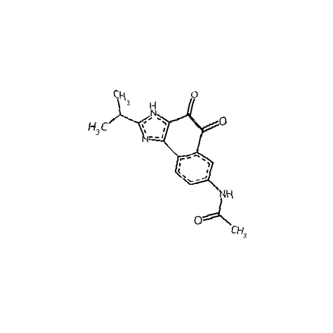 CC(=O)Nc1ccc2c(c1)C(=O)C(=O)c1[nH]c(C(C)C)nc1-2